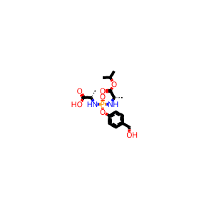 CC(C)OC(=O)[C@H](C)NP(=O)(N[C@@H](C)C(=O)O)Oc1ccc(CO)cc1